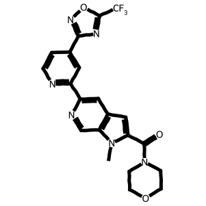 Cn1c(C(=O)N2CCOCC2)cc2cc(-c3cc(-c4noc(C(F)(F)F)n4)ccn3)ncc21